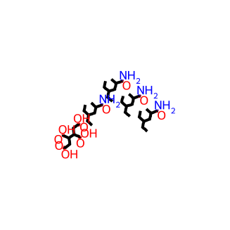 CCC(CC)CC(C)C(N)=O.CCC(CC)CC(C)C(N)=O.CCC(CC)CC(C)C(N)=O.CCC(CC)CC(C)C(N)=O.O=C(O)CC(C(=O)O)C(CC(=O)O)C(=O)O